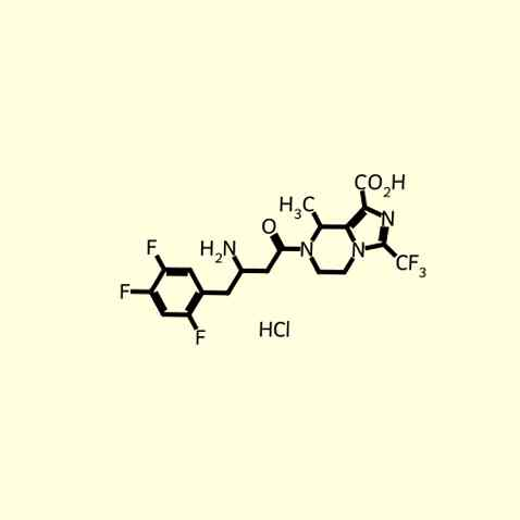 CC1c2c(C(=O)O)nc(C(F)(F)F)n2CCN1C(=O)CC(N)Cc1cc(F)c(F)cc1F.Cl